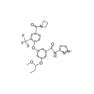 CCC(OC)Oc1cc(Oc2ccc(C(=O)N3CCC3)cc2C(F)(F)F)cc(C(=O)Nc2ccn(C)n2)c1